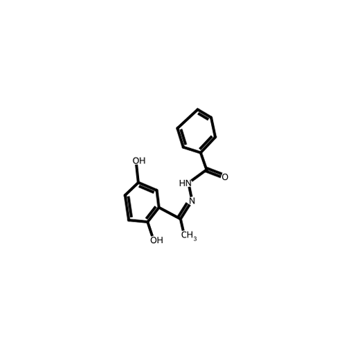 CC(=NNC(=O)c1ccccc1)c1cc(O)ccc1O